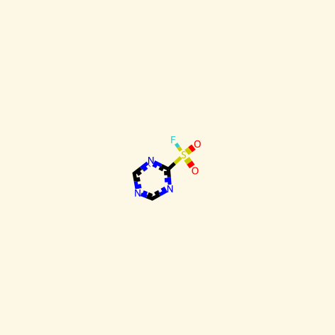 O=S(=O)(F)c1ncncn1